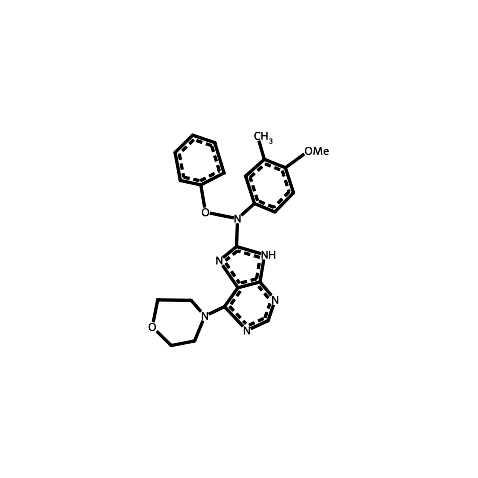 COc1ccc(N(Oc2ccccc2)c2nc3c(N4CCOCC4)ncnc3[nH]2)cc1C